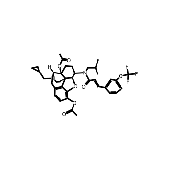 CC(=O)Oc1ccc2c3c1OC1C(N(CC(C)C)C(=O)/C=C/c4cccc(OC(F)(F)F)c4)CC[C@@]4(OC(C)=O)[C@@H](C2)N(CC2CC2)CC[C@]314